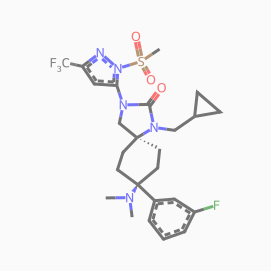 CN(C)[C@]1(c2cccc(F)c2)CC[C@]2(CC1)CN(c1cc(C(F)(F)F)nn1S(C)(=O)=O)C(=O)N2CC1CC1